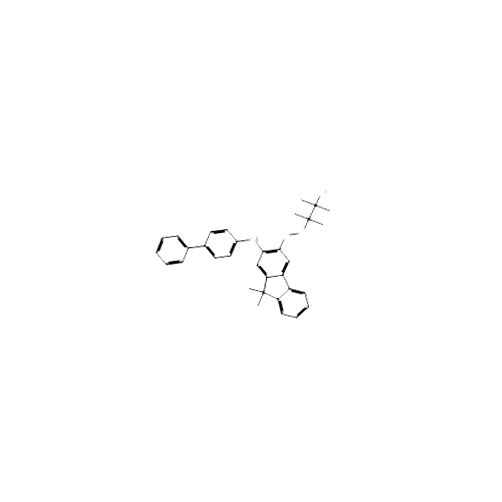 CC1(C)c2ccccc2-c2cc(BOC(C)(C)C(C)(C)O)c(Nc3ccc(-c4ccccc4)cc3)cc21